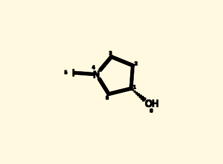 O[C@H]1CCN(I)C1